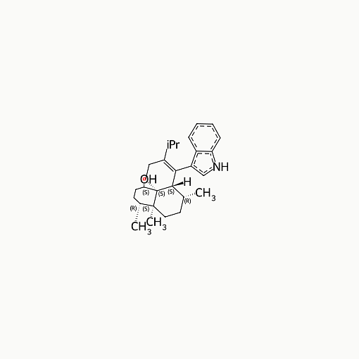 CC(C)C1=C(c2c[nH]c3ccccc23)[C@@H]2[C@H](C)CC[C@@]3(C)[C@H](C)CC[C@H](O)[C@@]23CC1